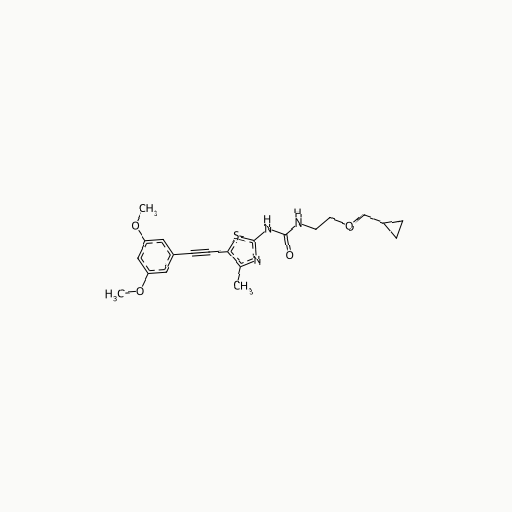 COc1cc(C#Cc2sc(NC(=O)NCCOCC3CC3)nc2C)cc(OC)c1